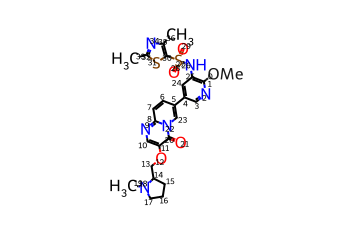 COc1ncc(-c2ccc3ncc(OCC4CCCN4C)c(=O)n3c2)cc1NS(=O)(=O)c1sc(C)nc1C